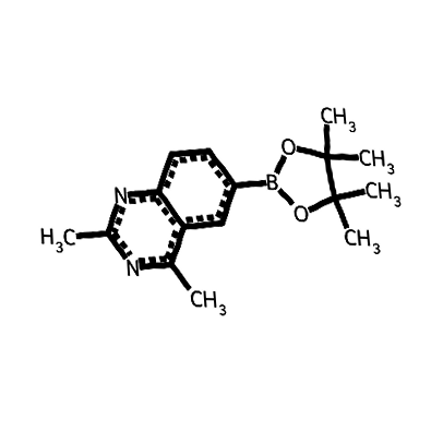 Cc1nc(C)c2cc(B3OC(C)(C)C(C)(C)O3)ccc2n1